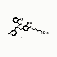 CCCCCCCCCCCCCCOc1ccc(CN(Cc2ccc[n+](C)c2)C(=O)c2ccccc2Cl)cc1C(C)(C)C.[I-]